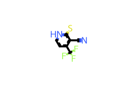 N#Cc1c(C(F)(F)F)cc[nH]c1=S